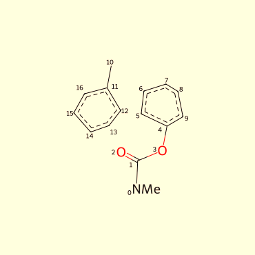 CNC(=O)Oc1ccccc1.Cc1ccccc1